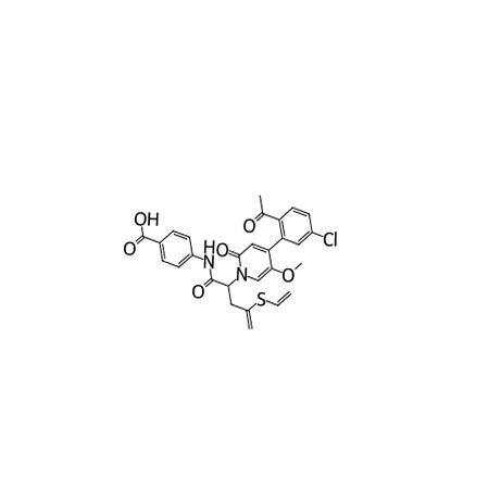 C=CSC(=C)CC(C(=O)Nc1ccc(C(=O)O)cc1)n1cc(OC)c(-c2cc(Cl)ccc2C(C)=O)cc1=O